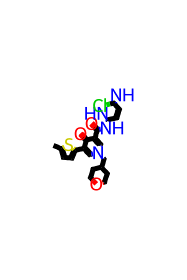 Cc1ccc(-c2cn(CC3CCOCC3)cc(C(=O)NC(=N)/C=C\C(=N)Cl)c2=O)s1